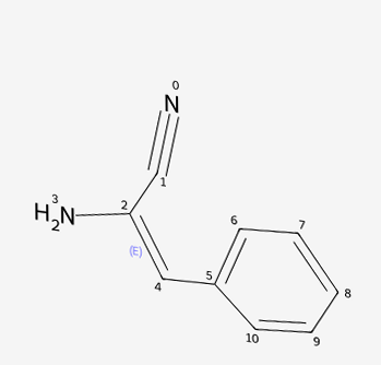 N#C/C(N)=C\c1ccccc1